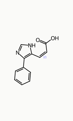 O=C(O)/C=C\c1[nH]cnc1-c1ccccc1